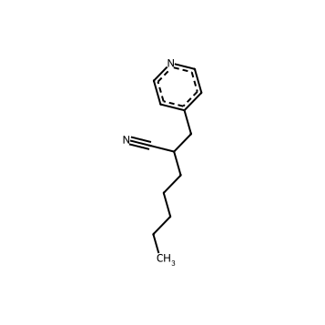 CCCCCC(C#N)Cc1ccncc1